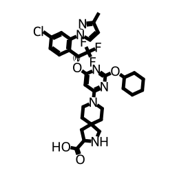 Cc1ccn(-c2cc(Cl)ccc2[C@@H](Oc2cc(N3CCC4(CC3)CNC(C(=O)O)C4)nc(OC3CCCCC3)n2)C(F)(F)F)n1